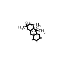 CC1(C)CCC2C(CC3CCCCC3C2(C)C)C1